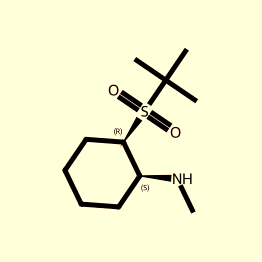 CN[C@H]1CCCC[C@H]1S(=O)(=O)C(C)(C)C